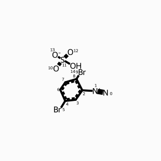 N#[N+]c1cc(Br)ccc1Br.O=S(=O)([O-])O